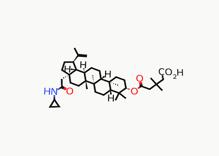 C=C(C)[C@@H]1CC[C@]2(CC(=O)NC3CC3)CC[C@]3(C)[C@H](CC[C@@H]4[C@@]5(C)CC[C@H](OC(=O)CC(C)(C)CC(=O)O)C(C)(C)[C@@H]5CC[C@]43C)[C@@H]12